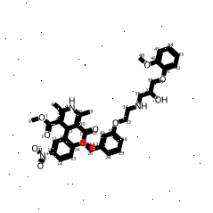 COC(=O)C1=C(C)NC(C)=C(C(=O)OC)C1c1cc([N+](=O)[O-])ccc1OCc1cccc(OCCNCC(O)COc2ccccc2OC)c1